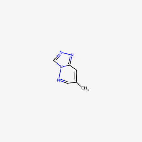 Cc1cnn2cnnc2c1